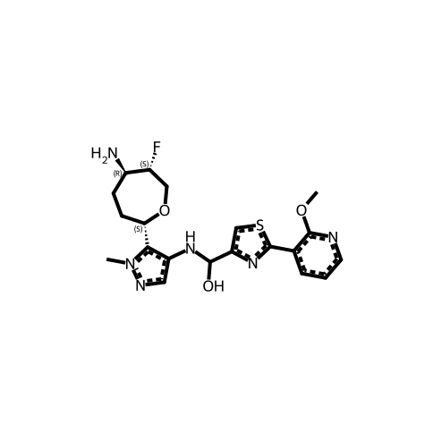 COc1ncccc1-c1nc(C(O)Nc2cnn(C)c2[C@@H]2CC[C@@H](N)[C@H](F)CO2)cs1